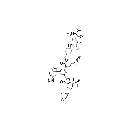 CC(NC(=O)C(N)C(C)C)C(=O)Nc1ccc(COC(=O)N(CCN=[N+]=[N-])c2cc(C3(Cc4nncn4C)COC3)cc(N3Cc4c(cc(CN5CCC[C@H](C)C5)cc4C(F)(F)F)C3=O)n2)cc1